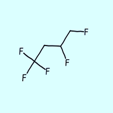 FCC(F)CC(F)(F)F